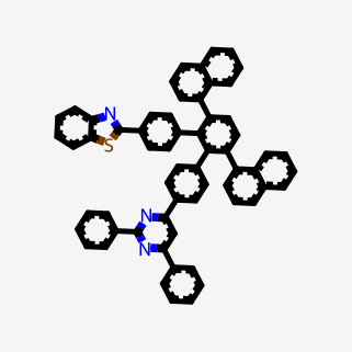 c1ccc(-c2cc(-c3ccc(-c4c(-c5cccc6ccccc56)ccc(-c5cccc6ccccc56)c4-c4ccc(-c5nc6ccccc6s5)cc4)cc3)nc(-c3ccccc3)n2)cc1